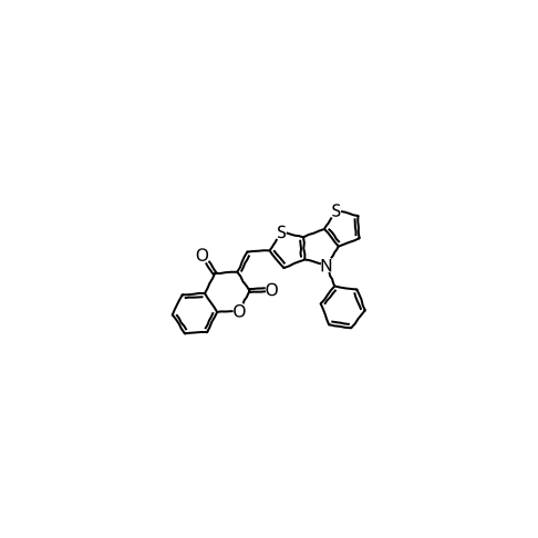 O=C1Oc2ccccc2C(=O)/C1=C/c1cc2c(s1)c1sccc1n2-c1ccccc1